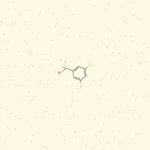 C[C@@H](Br)c1cc(F)cc(F)c1